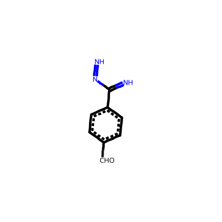 N=NC(=N)c1ccc(C=O)cc1